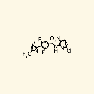 Cn1cc(C(F)(F)F)nc1-c1c(F)cc(CNc2nc(Cl)ncc2[N+](=O)[O-])cc1F